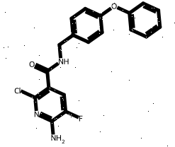 Nc1nc(Cl)c(C(=O)NCc2ccc(Oc3ccccc3)cc2)cc1F